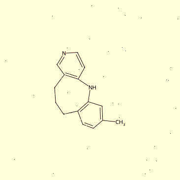 Cc1ccc2c(c1)Nc1ccncc1CCC2